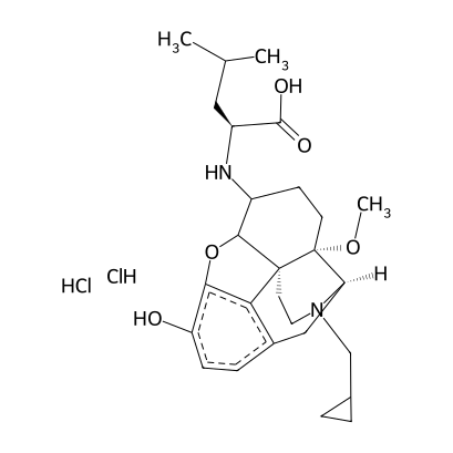 CO[C@@]12CCC(N[C@@H](CC(C)C)C(=O)O)C3Oc4c(O)ccc5c4[C@@]31CCN(CC1CC1)[C@@H]2C5.Cl.Cl